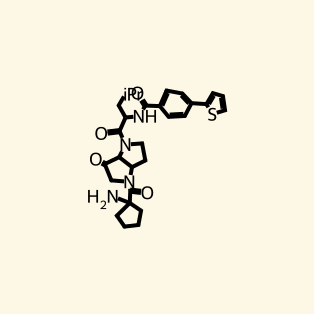 CC(C)CC(NC(=O)c1ccc(-c2cccs2)cc1)C(=O)N1CCC2C1C(=O)CN2C(=O)C1(N)CCCC1